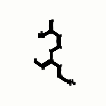 C=C(O)/C=C\CC(/C=C/N)=C\C